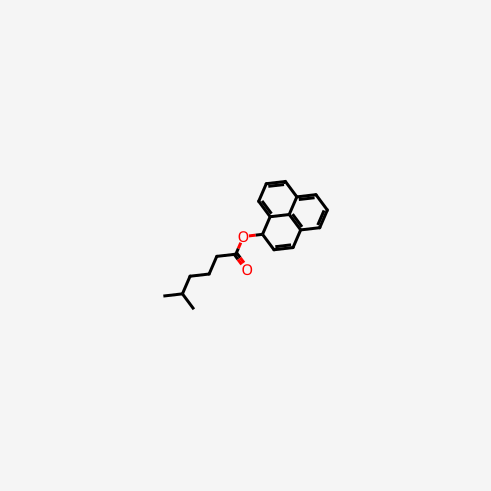 CC(C)CCCC(=O)OC1C=Cc2cccc3cccc1c23